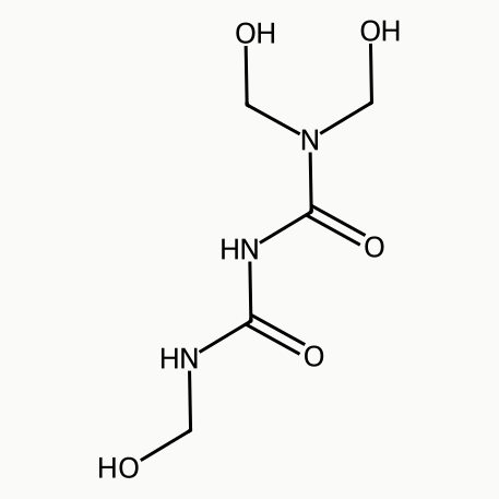 O=C(NCO)NC(=O)N(CO)CO